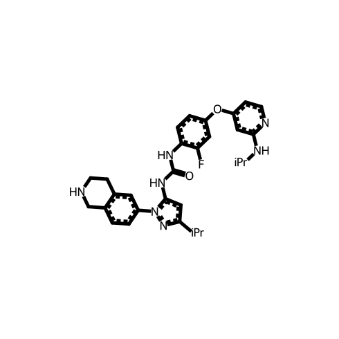 CC(C)Nc1cc(Oc2ccc(NC(=O)Nc3cc(C(C)C)nn3-c3ccc4c(c3)CCNC4)c(F)c2)ccn1